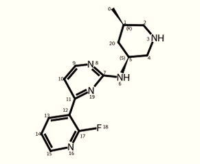 C[C@H]1CNC[C@@H](Nc2nccc(-c3cccnc3F)n2)C1